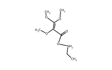 CC[SiH2]OC(=O)C(OC)=C(OC)OC